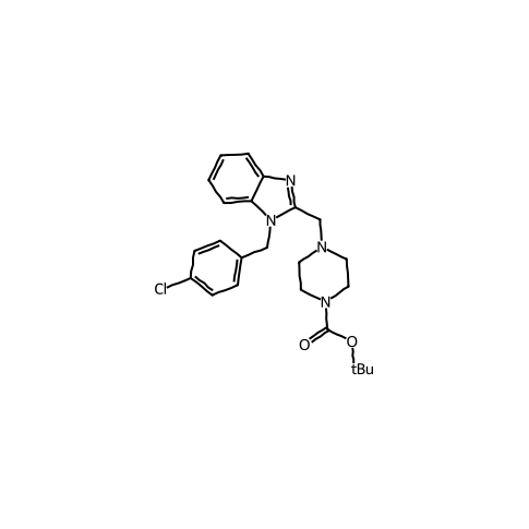 CC(C)(C)OC(=O)N1CCN(Cc2nc3ccccc3n2Cc2ccc(Cl)cc2)CC1